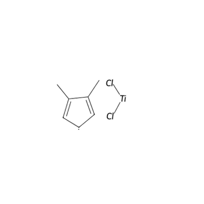 CC1=C[CH]C=C1C.[Cl][Ti][Cl]